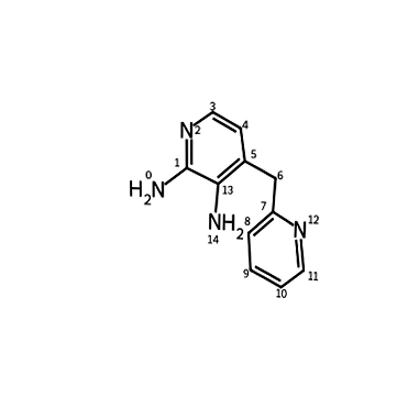 Nc1nccc(Cc2ccccn2)c1N